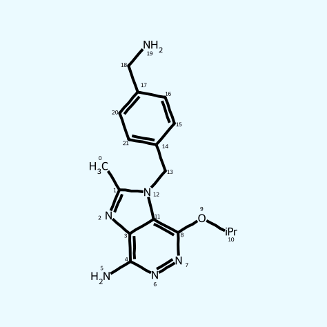 Cc1nc2c(N)nnc(OC(C)C)c2n1Cc1ccc(CN)cc1